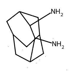 NC1C2CC3CC(C2)CC(C3)C1N